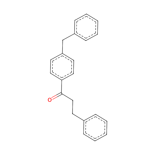 O=C(CCc1ccccc1)c1ccc(Cc2ccccc2)cc1